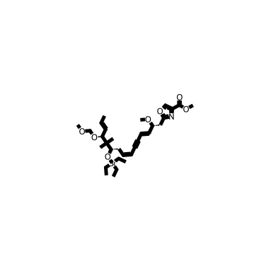 C/C=C/[C@@H](OCOC)C(C)(C)[C@H](C/C=C\C#C/C=C/[C@@H](Cc1nc(C(=O)OC)co1)OC)O[Si](CC)(CC)CC